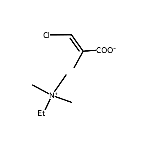 C/C(=C\Cl)C(=O)[O-].CC[N+](C)(C)C